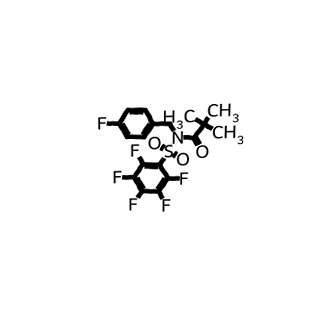 CC(C)(C)C(=O)N(Cc1ccc(F)cc1)S(=O)(=O)c1c(F)c(F)c(F)c(F)c1F